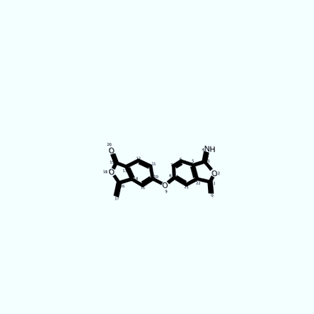 C=C1OC(=N)c2ccc(Oc3ccc4c(c3)C(=C)OC4=O)cc21